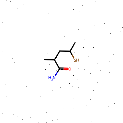 CC(S)CC(C)C(N)=O